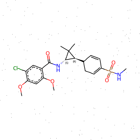 CNS(=O)(=O)C1=CCC([C@H]2[C@H](NC(=O)c3cc(Cl)c(OC)cc3OC)C2(C)C)C=C1